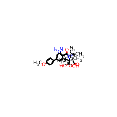 COc1ccc(-c2ccc(C(=O)N(C(C)(C)C)[C@@](CC(=O)O)(C(=O)O)C(C)(C)C)c(N)c2)cc1